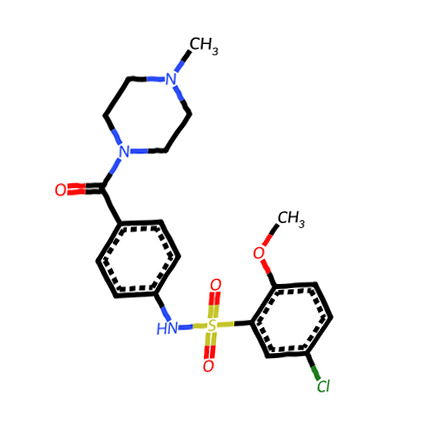 COc1ccc(Cl)cc1S(=O)(=O)Nc1ccc(C(=O)N2CCN(C)CC2)cc1